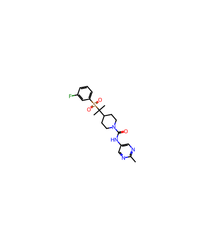 Cc1ncc(NC(=O)N2CCC(C(C)(C)S(=O)(=O)c3cccc(F)c3)CC2)cn1